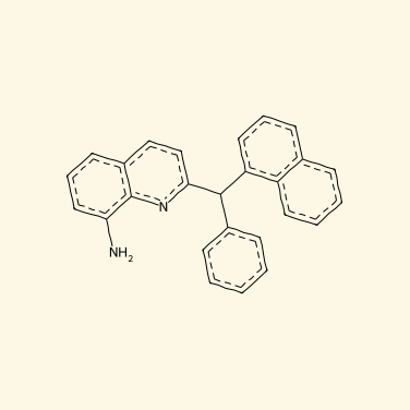 Nc1cccc2ccc(C(c3ccccc3)c3cccc4ccccc34)nc12